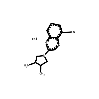 CC1CN(c2cnc3c(C#N)cccc3n2)CC1N.Cl